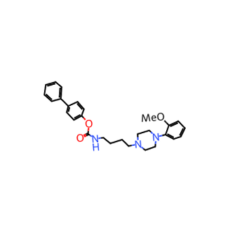 COc1ccccc1N1CCN(CCCCNC(=O)Oc2ccc(-c3ccccc3)cc2)CC1